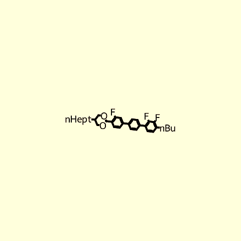 CCCCCCCC1COC(c2ccc(-c3ccc(-c4ccc(CCCC)c(F)c4F)cc3)cc2F)OC1